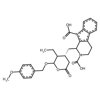 CCC1C(OCc2ccc(OC)cc2)OC(=O)C[C@H]1CC1c2c(c3ccccc3n2C(=O)O)CCN1C(=O)O